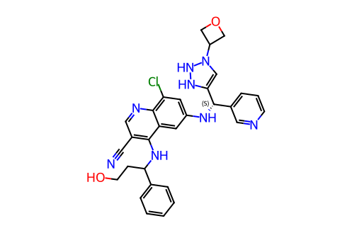 N#Cc1cnc2c(Cl)cc(N[C@H](C3=CN(C4COC4)NN3)c3cccnc3)cc2c1NC(CCO)c1ccccc1